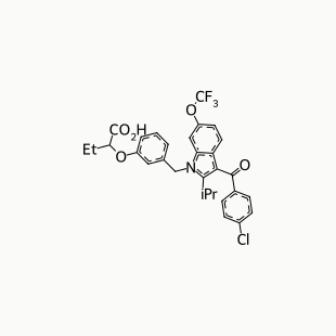 CCC(Oc1cccc(Cn2c(C(C)C)c(C(=O)c3ccc(Cl)cc3)c3ccc(OC(F)(F)F)cc32)c1)C(=O)O